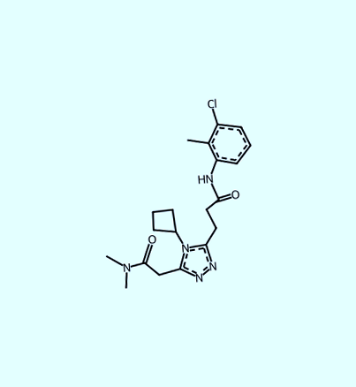 Cc1c(Cl)cccc1NC(=O)CCc1nnc(CC(=O)N(C)C)n1C1CCC1